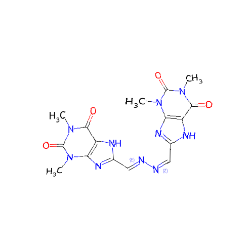 Cn1c(=O)c2[nH]c(/C=N\N=C\c3nc4c([nH]3)c(=O)n(C)c(=O)n4C)nc2n(C)c1=O